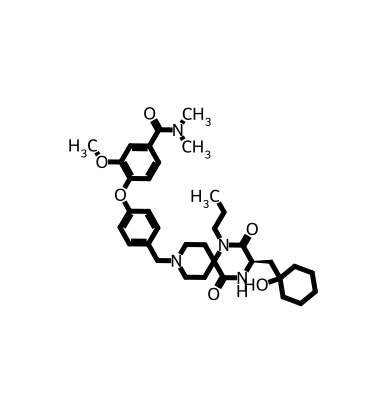 CCCN1C(=O)[C@@H](CC2(O)CCCCC2)NC(=O)C12CCN(Cc1ccc(Oc3ccc(C(=O)N(C)C)cc3OC)cc1)CC2